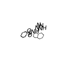 O=S(=O)(NC1CCC2CCCCC2C1c1nnn[nH]1)c1ccccc1